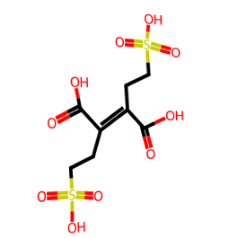 O=C(O)C(CCS(=O)(=O)O)=C(CCS(=O)(=O)O)C(=O)O